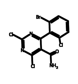 NC(=O)c1c(Cl)nc(Cl)nc1-c1c(Cl)cccc1Br